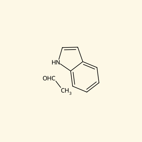 CC=O.c1ccc2[nH]ccc2c1